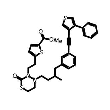 COC(=O)c1ccc(CCN2C(=O)SCCN2CCC(C)Cc2cccc(C#Cc3cscc3-c3ccccc3)c2)s1